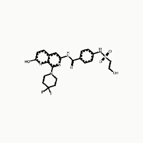 O=C(Nc1cc2ccc(O)nc2c(N2CCC(F)(F)CC2)n1)c1ccc(NS(=O)(=O)CCO)cc1